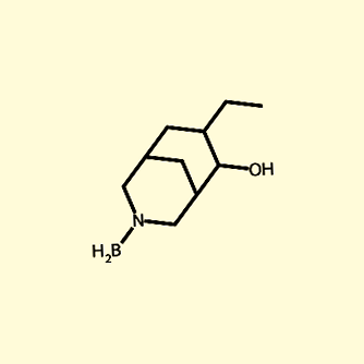 BN1CC2CC(CC)C(O)C(C2)C1